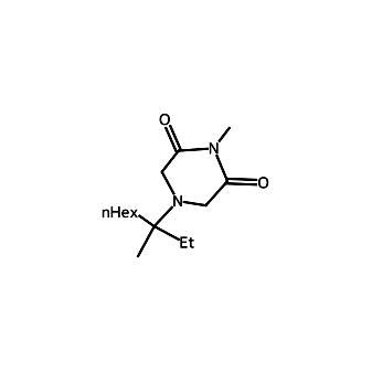 CCCCCCC(C)(CC)N1CC(=O)N(C)C(=O)C1